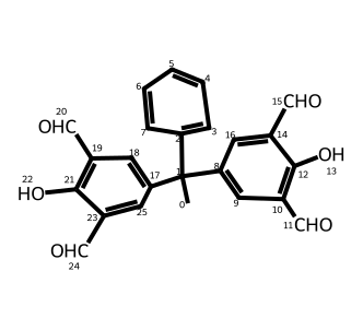 CC(c1ccccc1)(c1cc(C=O)c(O)c(C=O)c1)c1cc(C=O)c(O)c(C=O)c1